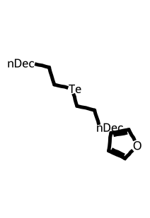 CCCCCCCCCCCC[Te]CCCCCCCCCCCC.c1ccoc1